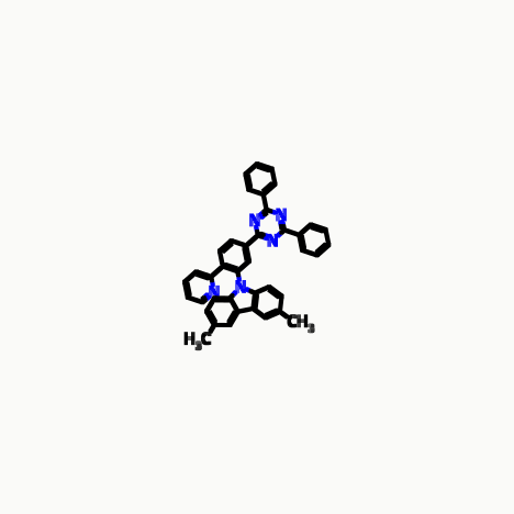 Cc1ccc2c(c1)c1cc(C)ccc1n2-c1cc(-c2nc(-c3ccccc3)nc(-c3ccccc3)n2)ccc1-c1ccccn1